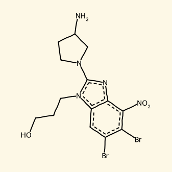 NC1CCN(c2nc3c([N+](=O)[O-])c(Br)c(Br)cc3n2CCCO)C1